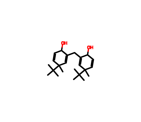 CC(C)(C)C1(C)C=CC(O)C(CC2=CC(C)(C(C)(C)C)C=CC2O)=C1